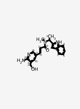 CC(c1cc2ccccc2[nH]1)N(C)C(=O)/C=C/c1cnc(N)c(CO)c1